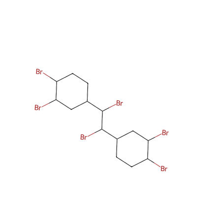 BrC1CCC(C(Br)C(Br)C2CCC(Br)C(Br)C2)CC1Br